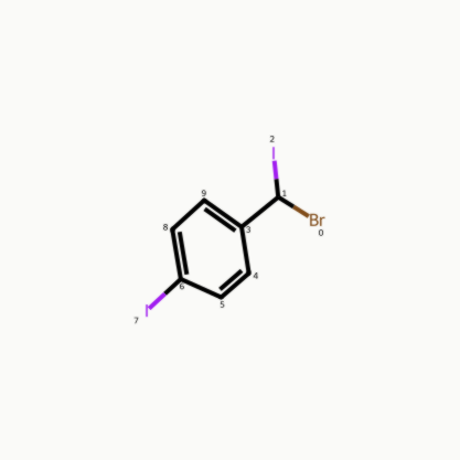 BrC(I)c1ccc(I)cc1